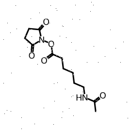 CC(=O)NCCCCCC(=O)ON1C(=O)CCC1=O